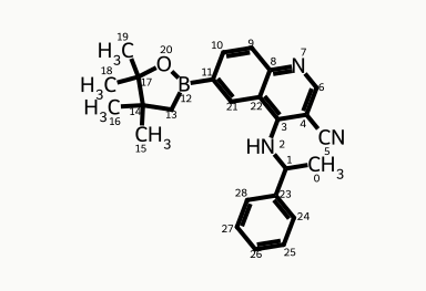 CC(Nc1c(C#N)cnc2ccc(B3CC(C)(C)C(C)(C)O3)cc12)c1ccccc1